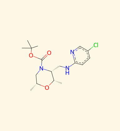 C[C@@H]1CN(C(=O)OC(C)(C)C)[C@H](CNc2ccc(Cl)cn2)[C@H](C)O1